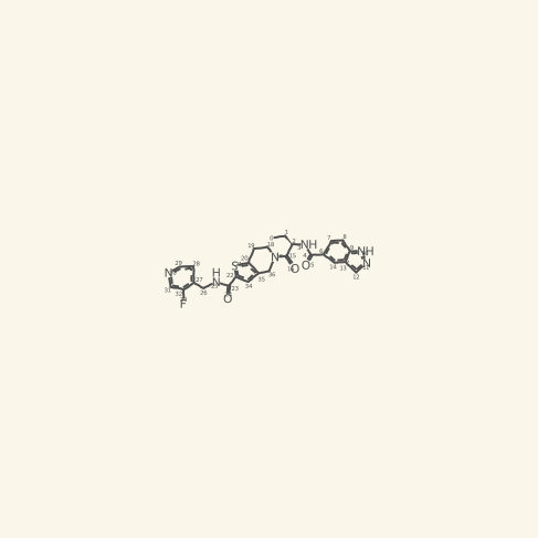 CC[C@@H](NC(=O)c1ccc2[nH]ncc2c1)C(=O)N1CCc2sc(C(=O)NCc3ccncc3F)cc2C1